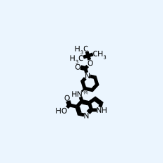 CC(C)(C)OC(=O)N1CCC[C@@H](Nc2c(C(=O)O)cnc3[nH]ccc23)C1